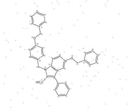 O=C(O)c1c(-c2ccccc2)c2cc(OCc3ccccc3)ccc2n1Cc1ccc(OCc2ccccc2)cc1